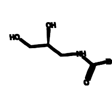 CCC(C)C(=O)NC[C@H](O)CO